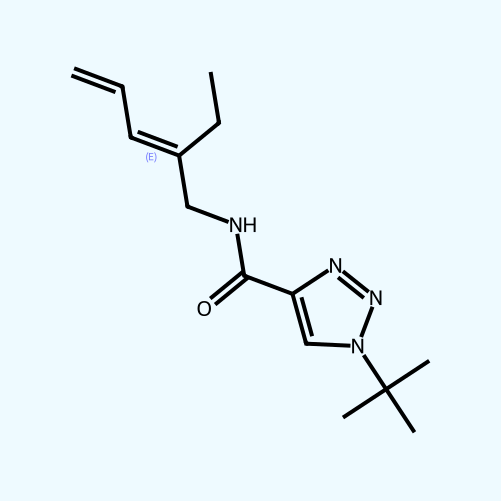 C=C/C=C(\CC)CNC(=O)c1cn(C(C)(C)C)nn1